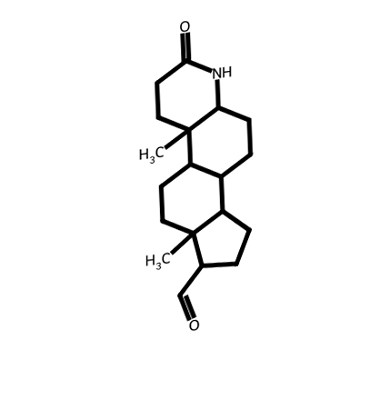 CC12CCC3C(CCC4NC(=O)CCC43C)C1CCC2C=O